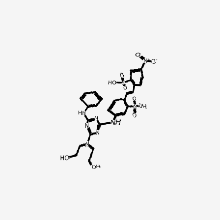 O=[N+]([O-])c1ccc(/C=C/c2ccc(Nc3nc(Nc4ccccc4)nc(N(CCO)CCO)n3)cc2S(=O)(=O)O)c(S(=O)(=O)O)c1